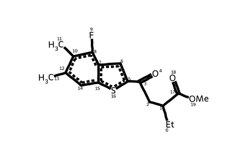 CCC(CC(=O)c1cc2c(F)c(C)c(C)cc2s1)C(=O)OC